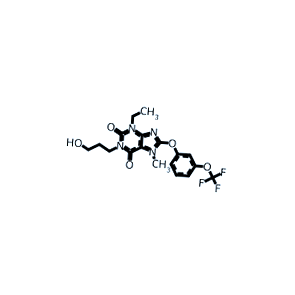 CCn1c(=O)n(CCCO)c(=O)c2c1nc(Oc1cccc(OC(F)(F)F)c1)n2C